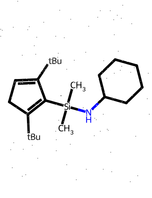 CC(C)(C)C1=CCC(C(C)(C)C)=C1[Si](C)(C)NC1CCCCC1